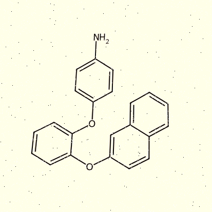 Nc1ccc(Oc2ccccc2Oc2ccc3ccccc3c2)cc1